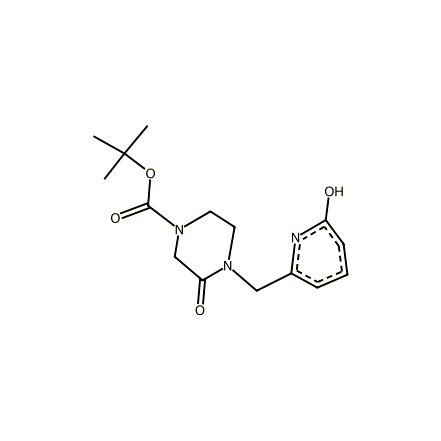 CC(C)(C)OC(=O)N1CCN(Cc2cccc(O)n2)C(=O)C1